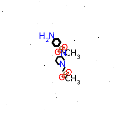 CN(C1CCCN(CCS(C)(=O)=O)C1)S(=O)(=O)c1ccc(N)cc1